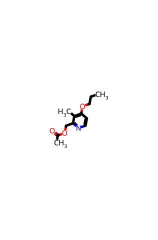 CCCOc1ccnc(COC(C)=O)c1C